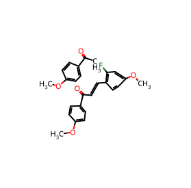 COc1ccc(C(=O)C=Cc2ccc(OC)cc2F)cc1.COc1ccc(C(C)=O)cc1